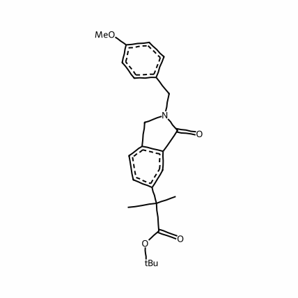 COc1ccc(CN2Cc3ccc(C(C)(C)C(=O)OC(C)(C)C)cc3C2=O)cc1